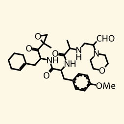 COc1ccc(CC(NC(=O)C(C)NCC(C=O)N2CCOCC2)C(=O)NC(CC2=CCCCC2)C(=O)C2(C)CO2)cc1